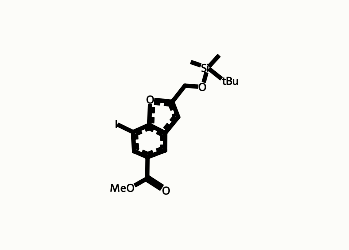 COC(=O)c1cc(I)c2oc(CO[Si](C)(C)C(C)(C)C)cc2c1